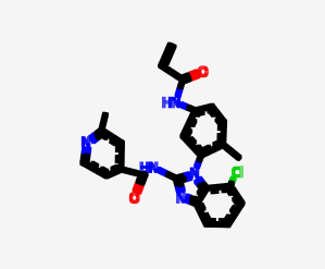 C=CC(=O)Nc1ccc(C)c(-n2c(NC(=O)c3ccnc(C)c3)nc3cccc(Cl)c32)c1